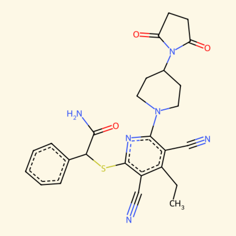 CCc1c(C#N)c(SC(C(N)=O)c2ccccc2)nc(N2CCC(N3C(=O)CCC3=O)CC2)c1C#N